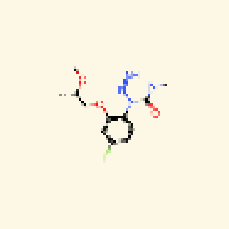 CNC(=O)N(N=N)c1ccc(F)cc1OC[C@H](C)OC